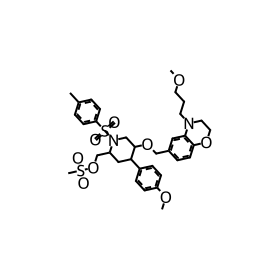 COCCCN1CCOc2ccc(COC3CN(S(=O)(=O)c4ccc(C)cc4)C(COS(C)(=O)=O)CC3c3ccc(OC)cc3)cc21